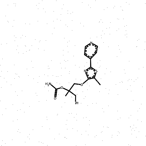 Cc1sc(-c2ccncc2)nc1OCC(C)(CC(C)C)OC(N)=O